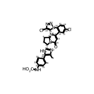 Cc1nc([C@@H]2CCc3nc(-c4cc(Cl)ccc4-n4cc(Cl)nn4)cc(=O)n32)[nH]c1-c1ccc(NC(=O)O)cc1